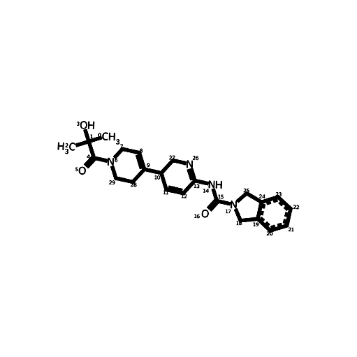 CC(C)(O)C(=O)N1CC=C(C2C=CC(NC(=O)N3Cc4ccccc4C3)=NC2)CC1